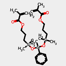 C=C(C)C(=O)OCCC[Si](C)(C)O[Si](C)(O[Si](C)(C)CCCOC(=O)C(=C)C)c1ccccc1